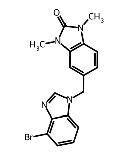 Cn1c(=O)n(C)c2cc(Cn3cnc4c(Br)cccc43)ccc21